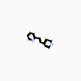 C(=Cc1ccccn1)c1ccncc1